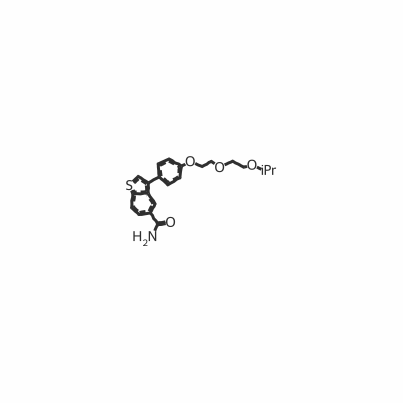 CC(C)OCCOCCOc1ccc(-c2csc3ccc(C(N)=O)cc23)cc1